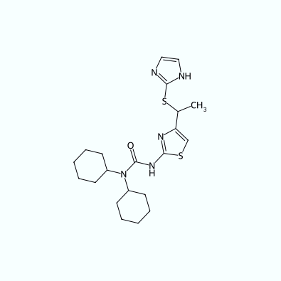 CC(Sc1ncc[nH]1)c1csc(NC(=O)N(C2CCCCC2)C2CCCCC2)n1